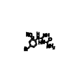 N=C(NC(N)=O)Nc1ccc(Br)cc1[N+](=O)[O-]